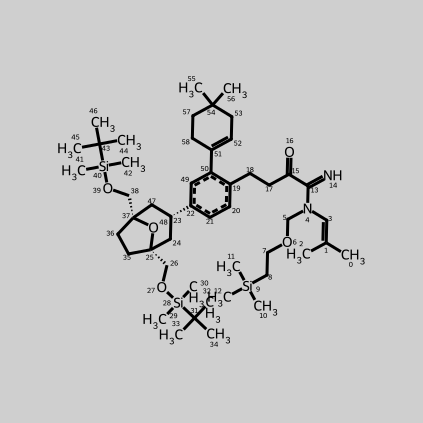 CC(C)=CN(COCC[Si](C)(C)C)C(=N)C(=O)CCc1ccc([C@@H]2C[C@@]3(CO[Si](C)(C)C(C)(C)C)CC[C@@](CO[Si](C)(C)C(C)(C)C)(C2)O3)cc1C1=CCC(C)(C)CC1